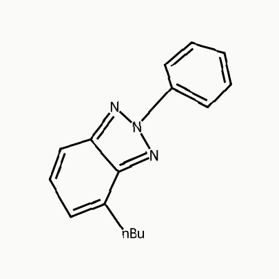 CCCCc1cccc2nn(-c3ccccc3)nc12